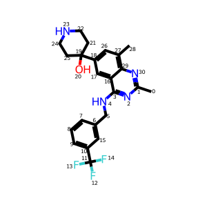 Cc1nc(NCc2cccc(C(F)(F)F)c2)c2cc(C3(O)CCNCC3)cc(C)c2n1